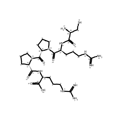 N=C(N)NCCC[C@H](NC(=O)[C@@H]1CCCN1C(=O)[C@@H]1CCCN1C(=O)[C@H](CCCNC(=N)N)NC(=O)[C@@H](N)CS)C(=O)O